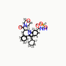 CS(=O)(=O)NC(=O)c1ccc2c(C3CCCCC3)c3n(c2c1)CC(C(=O)N1CCOCC1)Cc1ccccc1-3